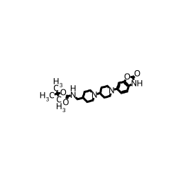 CC(C)(C)OC(=O)NCC1CCN(C2CCN(c3ccc4[nH]c(=O)oc4c3)CC2)CC1